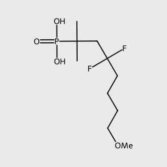 COCCCCC(F)(F)CC(C)(C)P(=O)(O)O